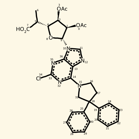 CC(=O)O[C@@H]1[C@H](OC(C)=O)[C@@H](C(C)C(=O)O)O[C@H]1n1cnc2c(N3CCC(c4ccccc4)(c4ccccc4)C3)nc(Cl)nc21